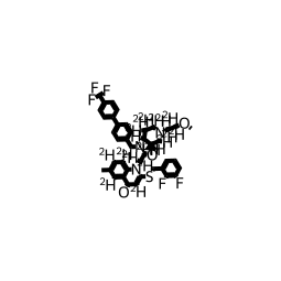 [2H]c1c(C)c([2H])c2c(=O)c([2H])c(SCc3cccc(F)c3F)n(C([2H])([2H])C(=O)N(Cc3ccc(-c4ccc(C(F)(F)F)cc4)cc3)C3([2H])C([2H])([2H])C([2H])([2H])N(C([2H])([2H])C([2H])([2H])OC)C([2H])([2H])C3([2H])[2H])c2c1[2H]